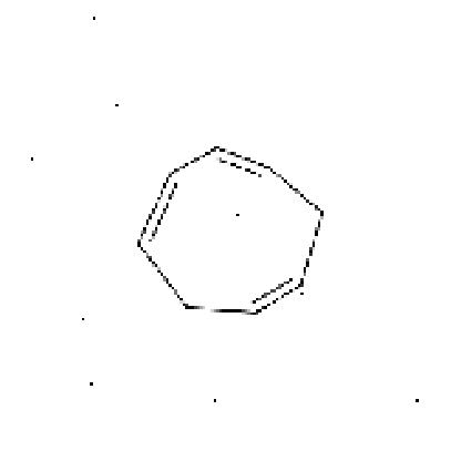 [C]1=CCC=CC=CC1